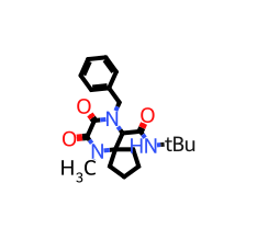 CN1C(=O)C(=O)N(Cc2ccccc2)C(C(=O)NC(C)(C)C)C12CCCC2